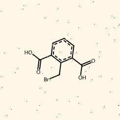 O=C(O)c1cccc(C(=O)O)c1CBr